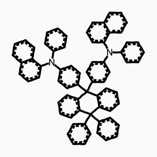 c1ccc(N(c2ccc(C3(c4ccc(N(c5ccccc5)c5cccc6ccccc56)cc4)c4ccccc4C(c4ccccc4)(c4ccccc4)c4ccccc43)cc2)c2cccc3ccccc23)cc1